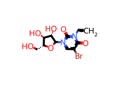 C=Cn1c(=O)c(Br)cn(C2O[C@H](CO)[C@@H](O)[C@@H]2O)c1=O